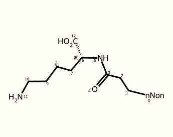 CCCCCCCCCCCC(=O)N[C@H](CCCCN)C(=O)O